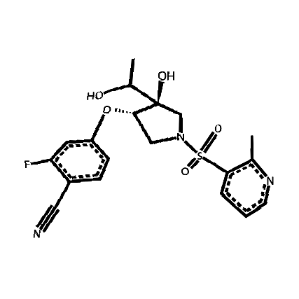 Cc1ncccc1S(=O)(=O)N1C[C@H](Oc2ccc(C#N)c(F)c2)[C@](O)(C(C)O)C1